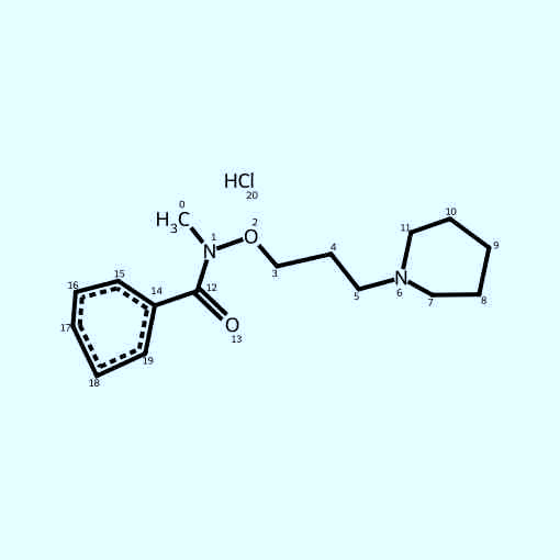 CN(OCCCN1CCCCC1)C(=O)c1ccccc1.Cl